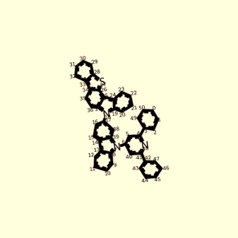 c1ccc(-c2cc(-n3c4ccccc4c4ccc(-n5c6ccccc6c6c7sc8ccccc8c7ccc65)cc43)cc(-c3ccccc3)n2)cc1